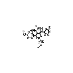 CCOC(=O)c1cc(N2CCC(OC)CC2)c(C(=N)C(C)C)c(Nc2ccnc(F)c2)n1